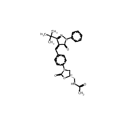 CC(=O)NC[C@H]1CN(c2ccc(C=C3C(=O)N(c4ccccc4)N=C3C(C)(C)C)cc2)C(=O)O1